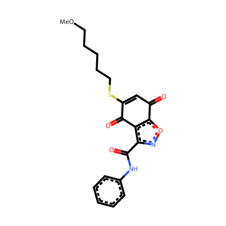 COCCCCCSC1=CC(=O)c2onc(C(=O)Nc3ccccc3)c2C1=O